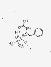 CC(C)(C)C(Cl)[C@H](O)[C@H](Cc1ccccc1)NC(=O)O